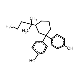 CCCC(C)(C)C1CCCC(c2ccc(O)cc2)(c2ccc(O)cc2)C1